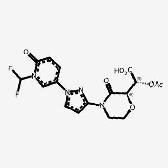 CC(=O)O[C@@H](C(=O)O)[C@H]1OCCN(c2ccn(-c3ccc(=O)n(C(F)F)c3)n2)C1=O